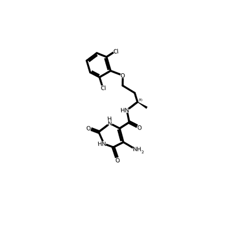 C[C@H](CCOc1c(Cl)cccc1Cl)NC(=O)c1[nH]c(=O)[nH]c(=O)c1N